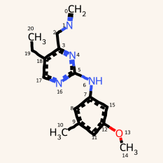 C=NCc1nc(Nc2cc(C)cc(OC)c2)ncc1CC